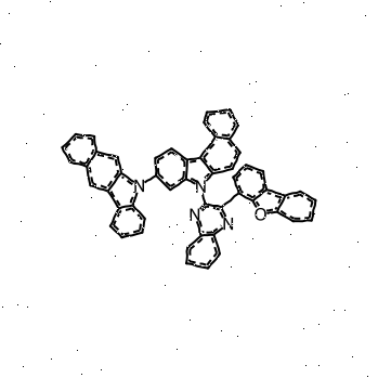 c1ccc2cc3c(cc2c1)c1ccccc1n3-c1ccc2c3c4ccccc4ccc3n(-c3nc4ccccc4nc3-c3cccc4c3oc3ccccc34)c2c1